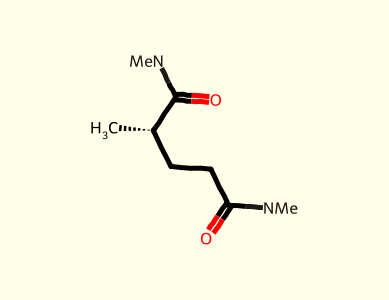 CNC(=O)CC[C@H](C)C(=O)NC